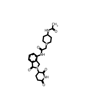 CC(=O)NC1CCN(CC(=O)Nc2cccc3c2CN(C2CCC(=O)NC2=O)C3=O)CC1